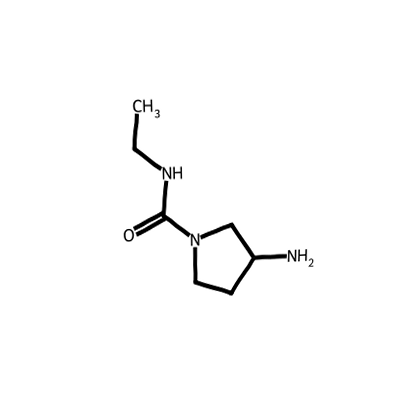 CCNC(=O)N1CCC(N)C1